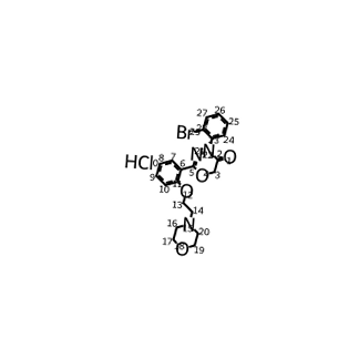 Cl.O=C1COC(c2ccccc2OCCN2CCOCC2)=NN1c1ccccc1Br